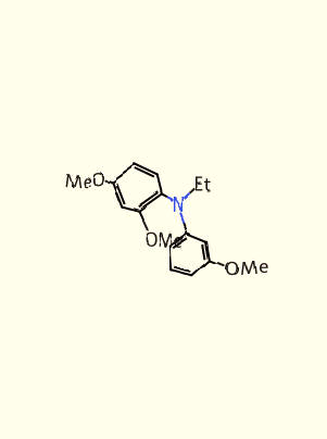 CCN(c1cccc(OC)c1)c1ccc(OC)cc1OC